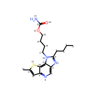 CCCCc1nc2cnc3cc(C)sc3c2n1CCCCOC(N)=O